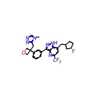 Cn1cnnc1CC1(c2cccc(-c3n[nH]c4c(CC5CC[C@H](F)C5)cc(C(F)(F)F)nc34)c2)COC1